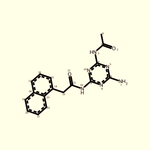 CC(=O)Nc1nc(N)nc(NC(=O)Cc2cccc3ccccc23)n1